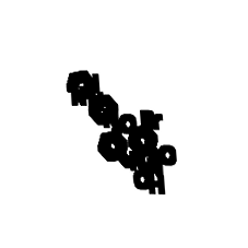 O=C(c1cccc(Cn2c(=O)[nH]c(=O)c3cc(Br)ccc32)c1)N1CCN(c2ncccn2)CC1